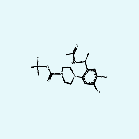 CC(=O)N[C@@H](C)c1cc(C)c(Cl)cc1N1CCN(C(=O)OC(C)(C)C)CC1